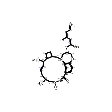 C=C/C=C(Cl)\C=C(\CCC)C[C@@H]1COc2ccc3cc2N(CC2CCC2C(OC)/C=C/CC(C)C[S+]([O-])NC3=O)C1